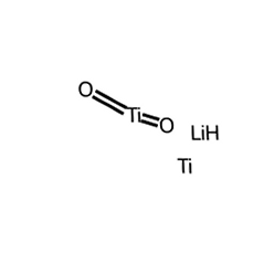 [LiH].[O]=[Ti]=[O].[Ti]